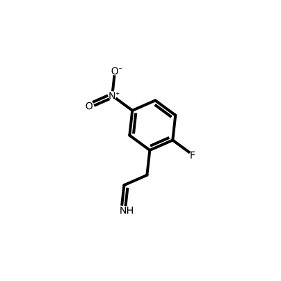 N=CCc1cc([N+](=O)[O-])ccc1F